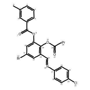 Cc1cccc(C(=O)Oc2cc(Br)cc(C=Nc3ccc(Cl)cc3)c2OC(=O)C(C)C)c1